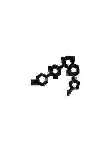 FC1CCN(c2ccc3ncnc(-c4cnc(C5CCNCC5)nc4)c3n2)C1